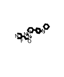 CN(c1ccc(C2CCCN(c3nc(-c4ccncc4F)cc(=O)n3C)C2)cc1)C1CCCCC1